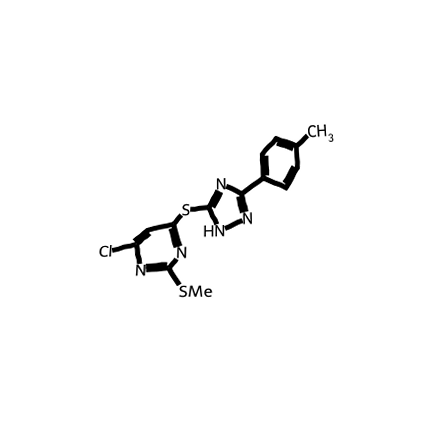 CSc1nc(Cl)cc(Sc2nc(-c3ccc(C)cc3)n[nH]2)n1